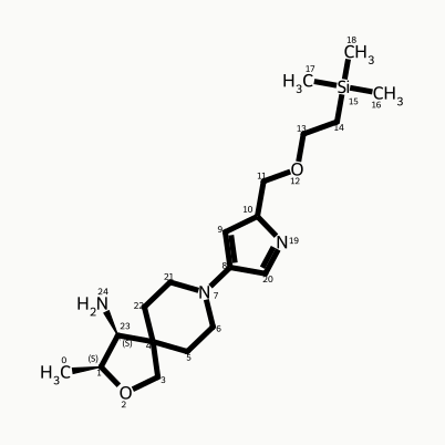 C[C@@H]1OCC2(CCN(C3=CC(COCC[Si](C)(C)C)N=C3)CC2)[C@@H]1N